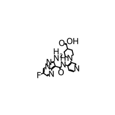 Nc1nn2cc(F)cnc2c1C(=O)Nc1ccncc1N1CCC(C(=O)O)CC1